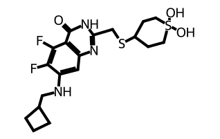 O=c1[nH]c(CSC2CCS(O)(O)CC2)nc2cc(NCC3CCC3)c(F)c(F)c12